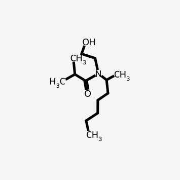 CCCCCC(C)N(CCO)C(=O)C(C)C